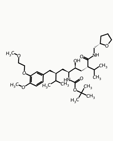 COCCOc1cc(C[C@@H](C[C@H](NC(=O)OC(C)(C)C)[C@@H](O)C[C@H](C(=O)NC[C@@H]2CCCO2)C(C)C)C(C)C)ccc1OC